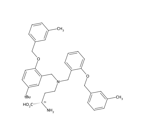 Cc1cccc(COc2ccccc2CN(CC[C@H](N)C(=O)O)Cc2cc(C(C)(C)C)ccc2OCc2cccc(C)c2)c1